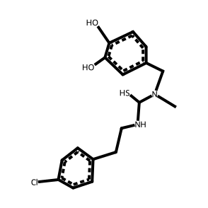 CN(Cc1ccc(O)c(O)c1)C(S)NCCc1ccc(Cl)cc1